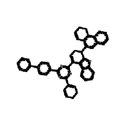 C1=CC(c2nc(C3=CCC(c4cc5ccccc5c5c4C=CCC5)c4oc5ccccc5c43)nc(-c3ccc(-c4ccccc4)cc3)n2)=CCC1